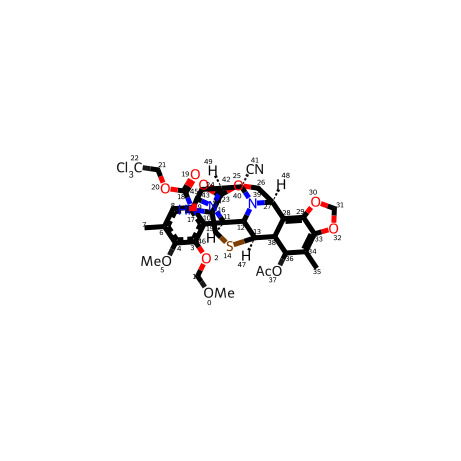 COCOc1c(OC)c(C)cc2c1[C@@H]1C3[C@@H]4SCC(NC(=O)OCC(Cl)(Cl)Cl)C(=O)OC[C@@H](C5=C6OCOC6=C(C)C(OC(C)=O)C54)N3[C@@H](C#N)[C@H](C2)N1C